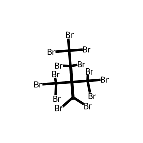 Br[C](Br)C(C(Br)(Br)Br)(C(Br)(Br)Br)C(Br)(Br)C(Br)(Br)Br